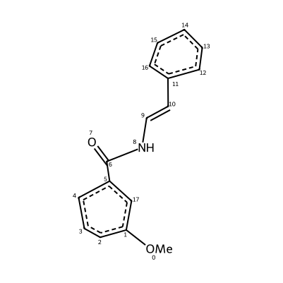 COc1cccc(C(=O)N/C=C/c2ccccc2)c1